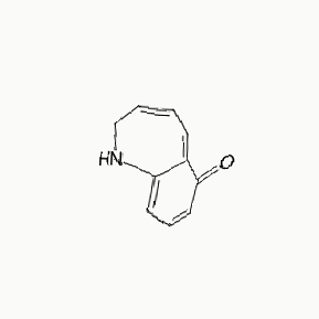 O=C1C=CC=C2NCC=CC=C12